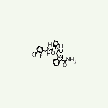 NC(=O)C1N=C(CC(=O)N2[C@@H]3CC[C@@H](C3)[C@H]2C(=O)NCc2cccc(Cl)c2F)c2ccccc21